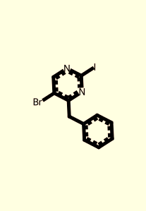 Brc1cnc(I)nc1Cc1ccccc1